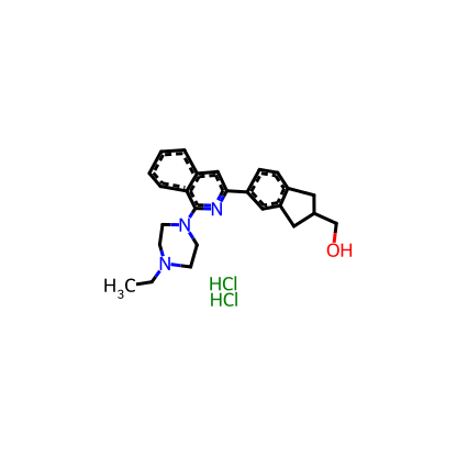 CCN1CCN(c2nc(-c3ccc4c(c3)CC(CO)C4)cc3ccccc23)CC1.Cl.Cl